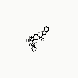 O=C(C1Cc2ccccc2N1)N1CCc2n[nH]c(S(=O)(=O)N3CCCC3)c2C1